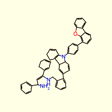 NC(/C=C(\NCc1ccccc1C1=CC2C3=C(C=CCC3)N(c3ccc(-c4cccc5c4oc4ccccc45)cc3)C2C=C1)C1=CC=CCC1)c1ccccc1